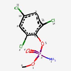 COP(N)(=O)Oc1c(Cl)cc(Cl)cc1Cl